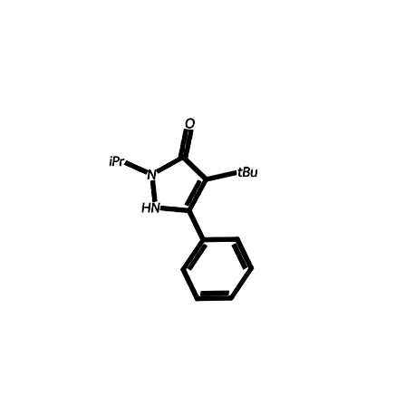 CC(C)n1[nH]c(-c2ccccc2)c(C(C)(C)C)c1=O